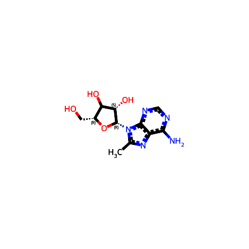 Cc1nc2c(N)ncnc2n1[C@@H]1O[C@H](CO)C(O)[C@@H]1O